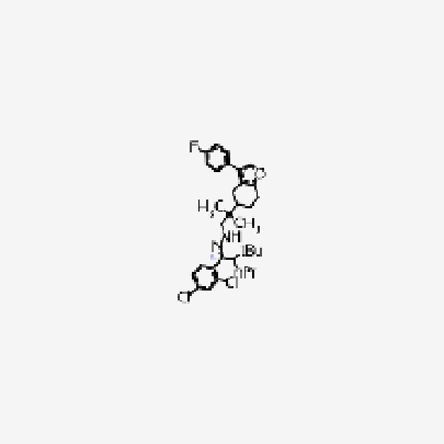 CCCC(/C(=N\NCC(C)(C)C1CCc2occ(-c3ccc(F)cc3)c2C1)c1ccc(Cl)cc1Cl)C(C)(C)C